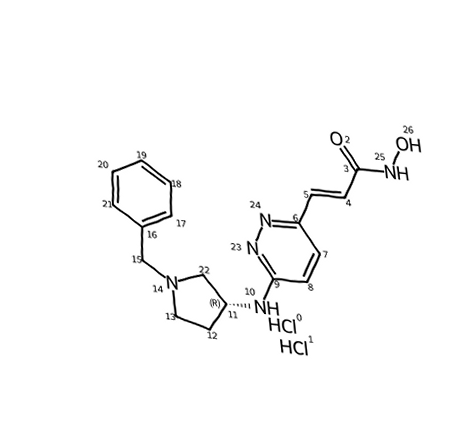 Cl.Cl.O=C(C=Cc1ccc(N[C@@H]2CCN(Cc3ccccc3)C2)nn1)NO